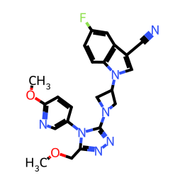 COCc1nnc(N2CC(n3cc(C#N)c4cc(F)ccc43)C2)n1-c1ccc(OC)nc1